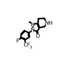 Cn1c2c(c(=O)n1-c1ccc(F)c(C(F)(F)F)c1)CNCC2